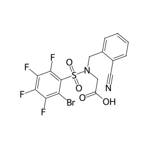 N#Cc1ccccc1CN(CC(=O)O)S(=O)(=O)c1c(F)c(F)c(F)c(F)c1Br